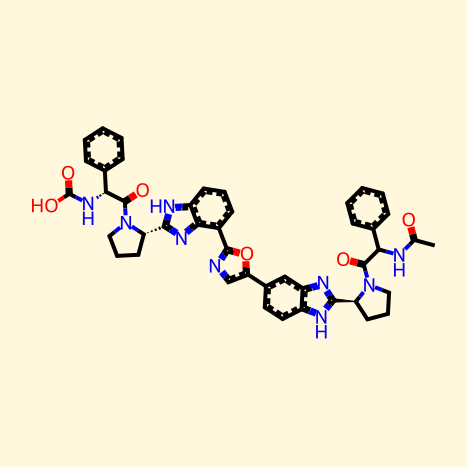 CC(=O)NC(C(=O)N1CCC[C@H]1c1nc2cc(-c3cnc(-c4cccc5[nH]c([C@@H]6CCCN6C(=O)[C@H](NC(=O)O)c6ccccc6)nc45)o3)ccc2[nH]1)c1ccccc1